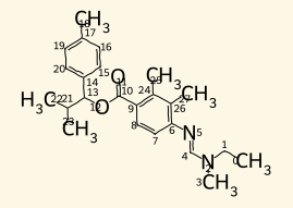 CCN(C)/C=N/c1ccc(C(=O)OC(c2ccc(C)cc2)C(C)C)c(C)c1C